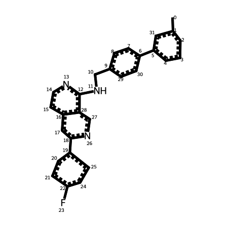 Cc1cccc(-c2ccc(CNc3nccc4cc(-c5ccc(F)cc5)ncc34)cc2)c1